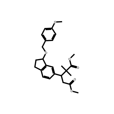 COC(=O)CC(c1ccc2c(c1)C(OCc1ccc(OC)cc1)CC2)C(C)(C)C(=O)OC